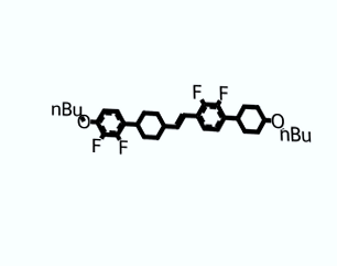 CCCCOc1ccc(C2CCC(/C=C/c3ccc(C4CCC(OCCCC)CC4)c(F)c3F)CC2)c(F)c1F